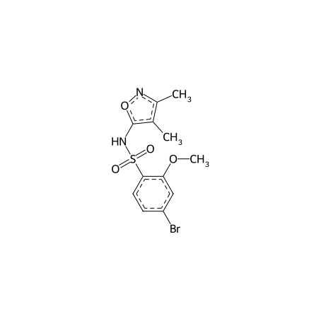 COc1cc(Br)ccc1S(=O)(=O)Nc1onc(C)c1C